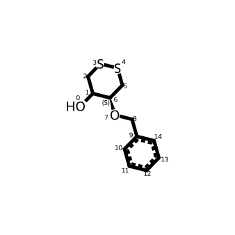 OC1CSSC[C@H]1OCc1ccccc1